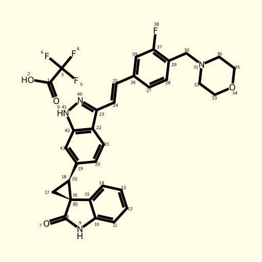 O=C(O)C(F)(F)F.O=C1Nc2ccccc2[C@]12C[C@H]2c1ccc2c(C=Cc3ccc(CN4CCOCC4)c(F)c3)n[nH]c2c1